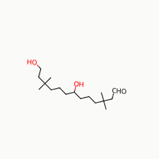 CC(C)(CC=O)CCCC(O)CCCC(C)(C)CCO